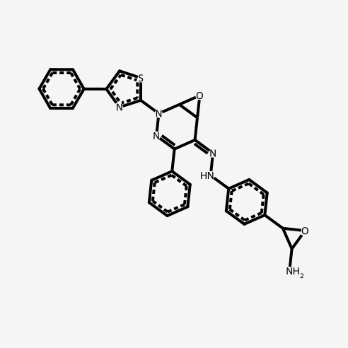 NC1OC1c1ccc(N/N=C2\C(c3ccccc3)=NN(c3nc(-c4ccccc4)cs3)C3OC23)cc1